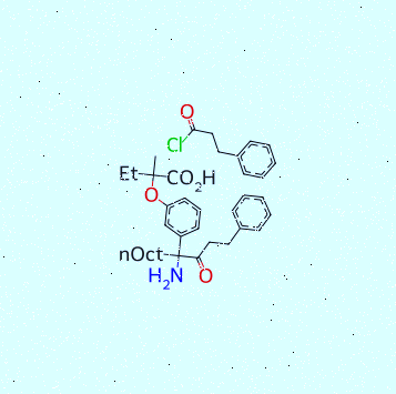 CCCCCCCCC(N)(C(=O)CCc1ccccc1)c1cccc(OC(C)(CC)C(=O)O)c1.O=C(Cl)CCc1ccccc1